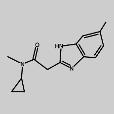 Cc1ccc2nc(CC(=O)N(C)C3CC3)[nH]c2c1